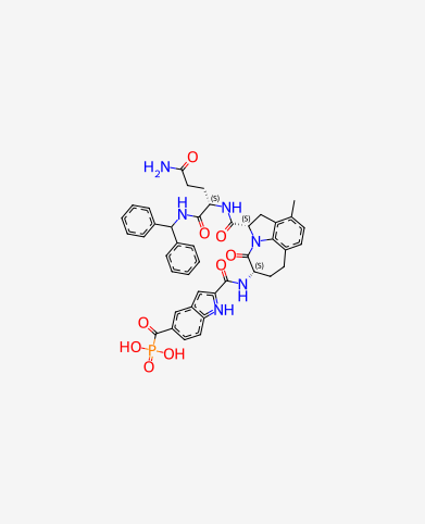 Cc1ccc2c3c1C[C@@H](C(=O)N[C@@H](CCC(N)=O)C(=O)NC(c1ccccc1)c1ccccc1)N3C(=O)[C@@H](NC(=O)c1cc3cc(C(=O)P(=O)(O)O)ccc3[nH]1)CC2